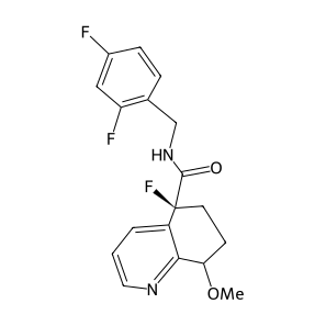 COC1CC[C@@](F)(C(=O)NCc2ccc(F)cc2F)c2cccnc21